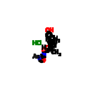 CC(=O)N1CCOC12CN(C(=O)CC(=O)[C@H](C)[C@H]1CC[C@H]3[C@@H]4CC=C5C[C@@H](O)CC[C@]5(C)[C@H]4CC[C@@]13C)C2.Cl